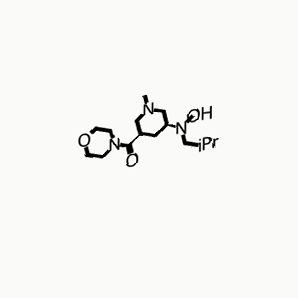 CC(C)CN(O)[C@H]1C[C@@H](C(=O)N2CCOCC2)CN(C)C1